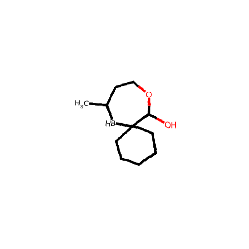 CC1BC2(CCCCC2)C(O)OCC1